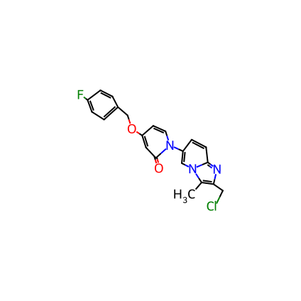 Cc1c(CCl)nc2ccc(-n3ccc(OCc4ccc(F)cc4)cc3=O)cn12